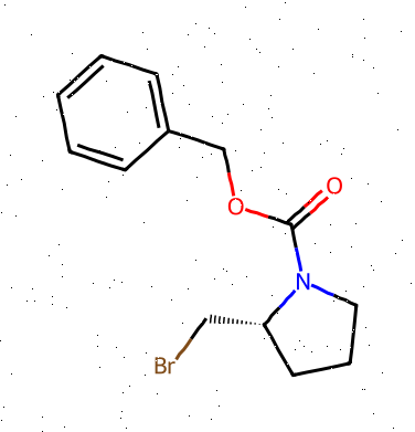 O=C(OCc1ccccc1)N1CCC[C@@H]1CBr